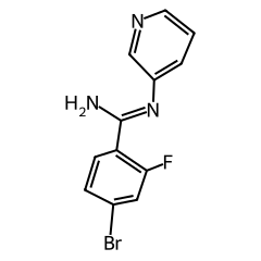 NC(=Nc1cccnc1)c1ccc(Br)cc1F